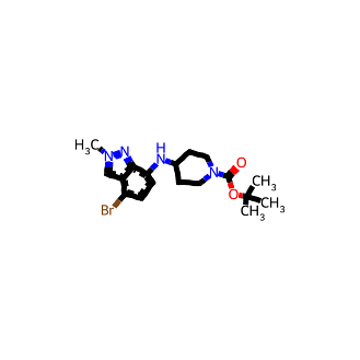 Cn1cc2c(Br)ccc(NC3CCN(C(=O)OC(C)(C)C)CC3)c2n1